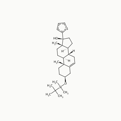 CC(C)(C)[Si](C)(C)O[C@H]1CC[C@@]2(C)C(=CC[C@@H]3[C@@H]2CC[C@@]2(C)[C@H]3CC[C@@]2(O)c2cccs2)C1